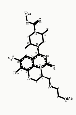 COCCOC[C@H]1CSc2c(Cl)c(C(F)(F)F)cc3c(N4CC(C)N(C(=O)OC(C)(C)C)CC4C)nc(=O)n1c23